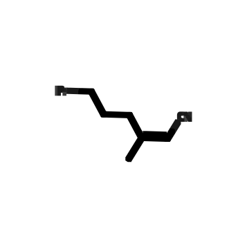 CC(=CC#N)CCCC(C)C